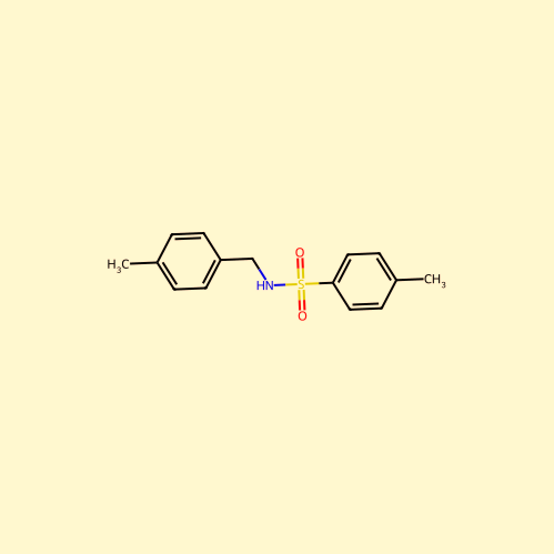 Cc1ccc(CNS(=O)(=O)c2ccc(C)cc2)cc1